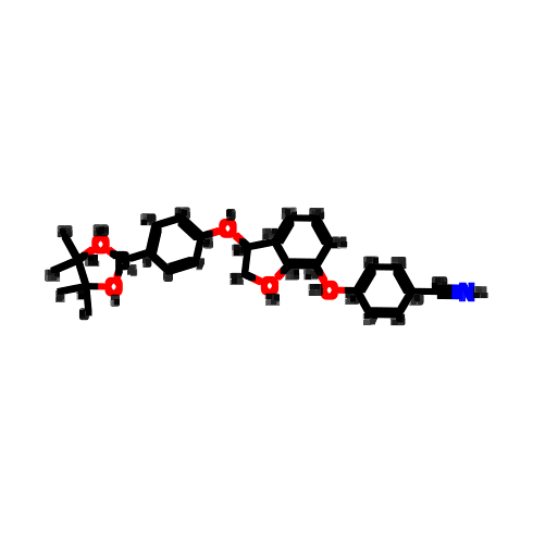 CC1(C)OB(c2ccc(OC3COc4c(Oc5ccc(C#N)cc5)cccc43)cc2)OC1(C)C